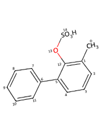 Cc1cccc(-c2ccccc2)c1OS(=O)(=O)O